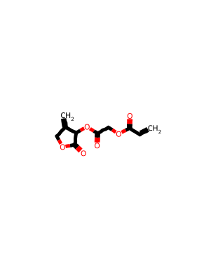 C=CC(=O)OCC(=O)OC1C(=C)COC1=O